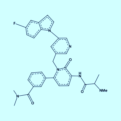 CNC(C)C(=O)Nc1ccc(-c2cccc(C(=O)N(C)C)c2)n(Cc2cncc(-n3ccc4cc(F)ccc43)c2)c1=O